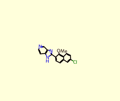 COc1c(-c2nc3cnccc3[nH]2)ccc2cc(Cl)ccc12